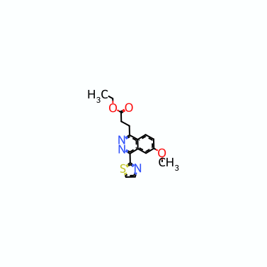 CCOC(=O)CCc1nnc(-c2nccs2)c2cc(OC)ccc12